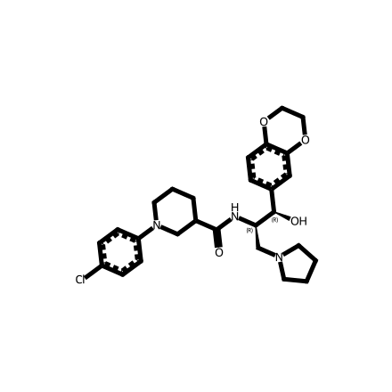 O=C(N[C@H](CN1CCCC1)[C@H](O)c1ccc2c(c1)OCCO2)C1CCCN(c2ccc(Cl)cc2)C1